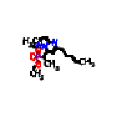 CCCCCc1cc(C(C)P(=O)(OCC)OCC)n2nccc2n1